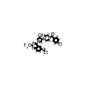 CCOc1ccc2nc(C(F)(F)F)nc(N3C[C@H](O)[C@@H](N4CCN(C(=O)c5ccc(Cl)cc5)CC4)C3)c2c1